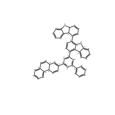 C1=CC2Oc3ccccc3C2C(c2ccc(-c3nc(C4=CC5C=Cc6ccccc6C5C=C4)nc(-c4ccccc4)n3)c3c2oc2ccccc23)=C1